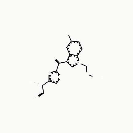 C=C[C@H](C)c1csc(C(=O)c2cn(COC(=O)O)c3ccc(Cl)cc23)n1